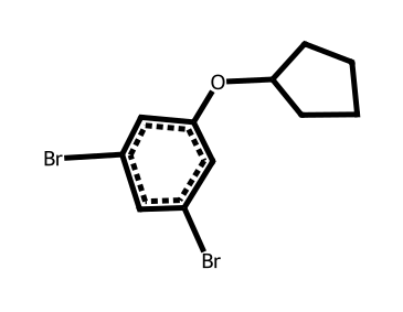 Brc1cc(Br)cc(OC2CCCC2)c1